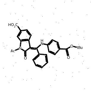 CC(=O)N1C(=O)C(=C(Nc2ccc(C(=O)OC(C)(C)C)cc2)c2ccccc2)c2ccc(C(=O)O)cc21